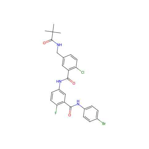 CC(C)(C)C(=O)NCc1ccc(Cl)c(C(=O)Nc2ccc(F)c(C(=O)Nc3ccc(Br)cc3)c2)c1